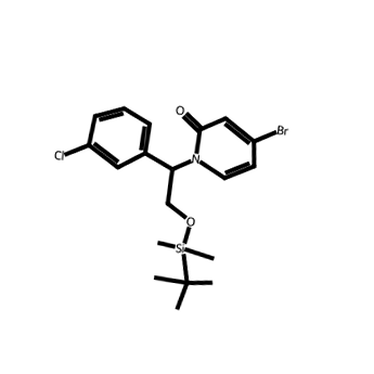 CC(C)(C)[Si](C)(C)OCC(c1cccc(Cl)c1)n1ccc(Br)cc1=O